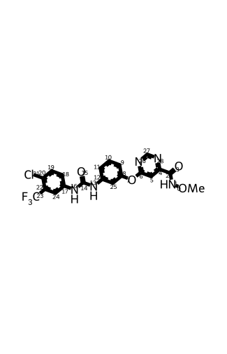 CONC(=O)c1cc(Oc2cccc(NC(=O)Nc3ccc(Cl)c(C(F)(F)F)c3)c2)ncn1